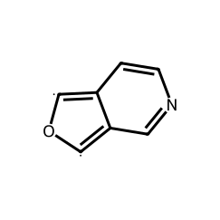 [c]1o[c]c2cnccc12